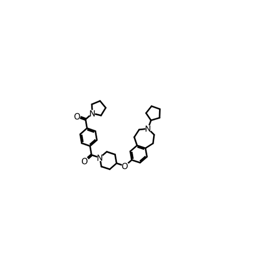 O=C(c1ccc(C(=O)N2CCC(Oc3ccc4c(c3)CCN(C3CCCC3)CC4)CC2)cc1)N1CCCC1